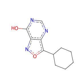 Oc1ncnc2c(C3CCCCC3)onc12